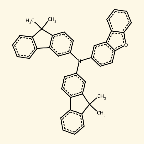 CC1(C)c2ccccc2-c2cc(N(c3ccc4c(c3)C(C)(C)c3ccccc3-4)c3ccc4oc5ccccc5c4c3)ccc21